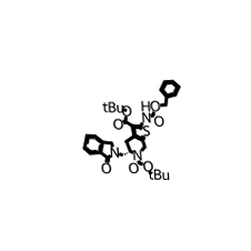 CC(C)(C)OC(=O)c1c(NC(=O)OCc2ccccc2)sc2c1C[C@@H](CN1Cc3ccccc3C1=O)N(C(=O)OC(C)(C)C)C2